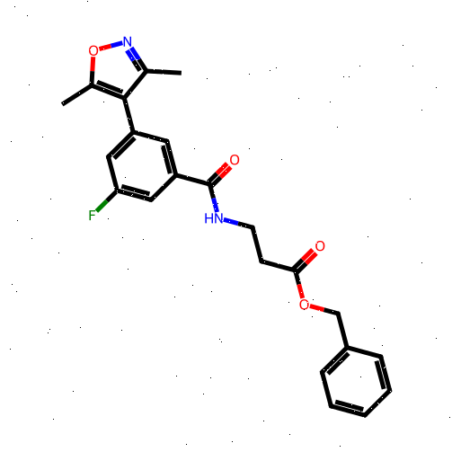 Cc1noc(C)c1-c1cc(F)cc(C(=O)NCCC(=O)OCc2ccccc2)c1